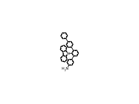 Nc1ccc(-c2cccc(-c3ccc(-c4ccccc4)cc3)c2-n2c3ccccc3c3ccccc32)cc1